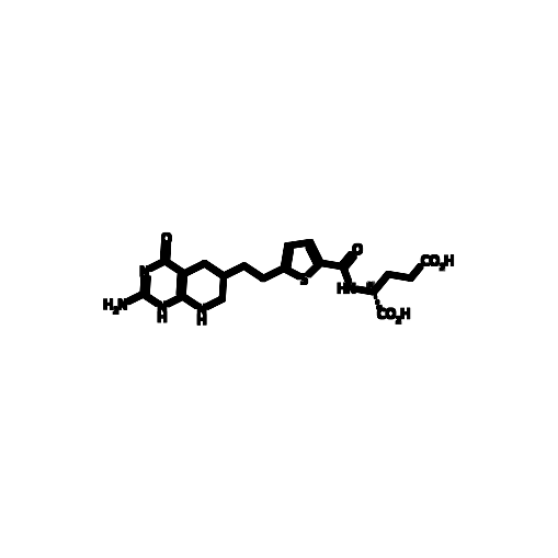 Nc1nc(=O)c2c([nH]1)NCC(CCc1ccc(C(=O)N[C@H](CCC(=O)O)C(=O)O)s1)C2